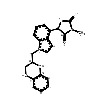 CN1C(=O)SC(c2cccc3c2ccn3CC2COc3ccccc3O2)C1=O